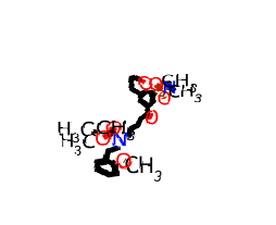 COc1ccccc1CCN(CCCCC(=O)c1cc2c(c(S(=O)(=O)N(C)C)c1)OCCC2)C(=O)OC(C)(C)C